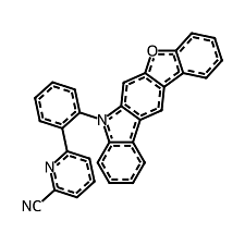 N#Cc1cccc(-c2ccccc2-n2c3ccccc3c3cc4c(cc32)oc2ccccc24)n1